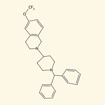 FC(F)(F)Oc1ccc2c(c1)CCN(C1CCN(C(c3ccccc3)c3ccccc3)CC1)C2